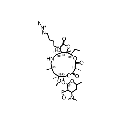 CC[C@H]1OC(=O)[C@H](C)C(=O)C[C@@H](O[C@@H]2OC(C)CC(N(C)C)C2P=O)[C@@](C)(OC)C[C@@H](C)CN[C@H](C)[C@H]2N(CCCCN=[N+]=[N-])C(=O)O[C@]12C